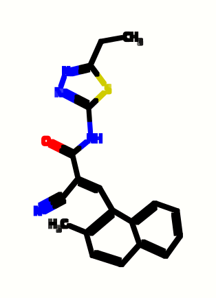 CCc1nnc(NC(=O)/C(C#N)=C/c2c(C)ccc3ccccc23)s1